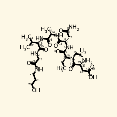 CC[C@@H](C(=O)N[C@@H](CC(N)=O)C(=O)N[C@@H](C)C(=O)N[C@H](C(=O)NCC(=O)NCCCO)C(C)C)N(CC)C(=O)[C@@H](N)CC(=O)O